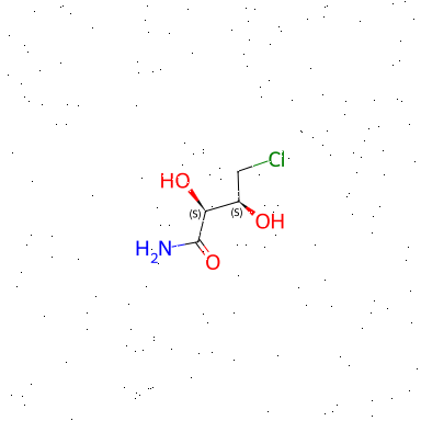 NC(=O)[C@@H](O)[C@H](O)CCl